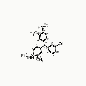 CCNc1ccc(C(c2cccc(O)c2)c2ccc(NCC)c(C)c2)cc1C